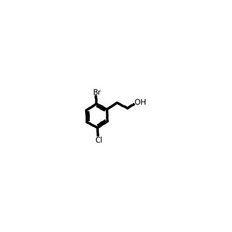 OCCc1cc(Cl)ccc1Br